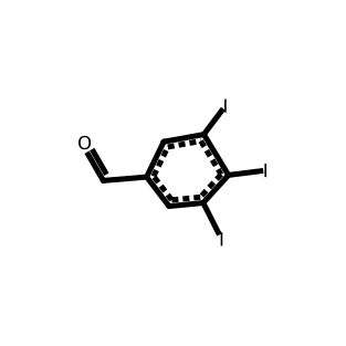 O=Cc1cc(I)c(I)c(I)c1